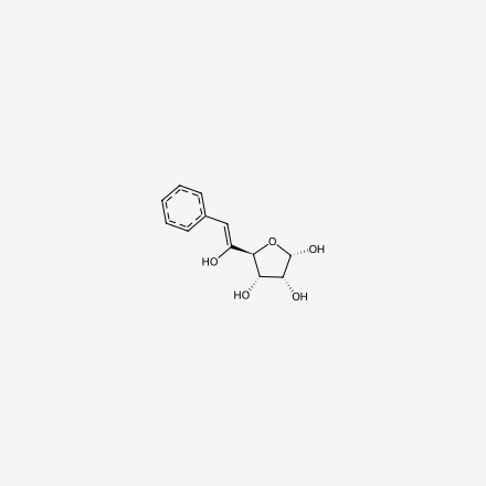 OC(=Cc1ccccc1)[C@H]1O[C@H](O)[C@H](O)[C@@H]1O